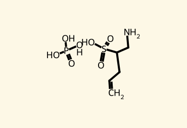 C=CCC(CN)S(=O)(=O)O.O=P(O)(O)O